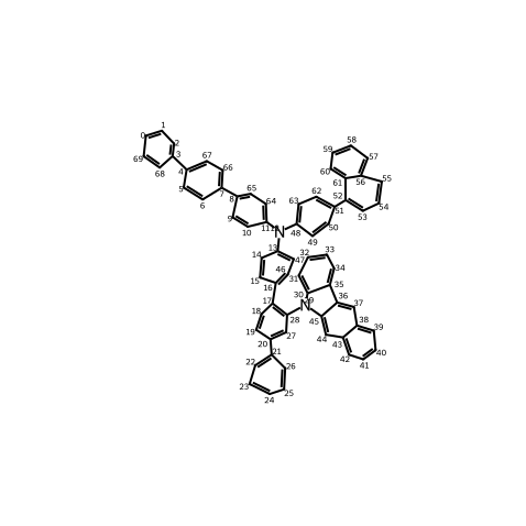 c1ccc(-c2ccc(-c3ccc(N(c4ccc(-c5ccc(-c6ccccc6)cc5-n5c6ccccc6c6cc7ccccc7cc65)cc4)c4ccc(-c5cccc6ccccc56)cc4)cc3)cc2)cc1